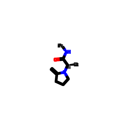 C=C1CCCN1[C@@H](CC)C(=O)NC(C)C